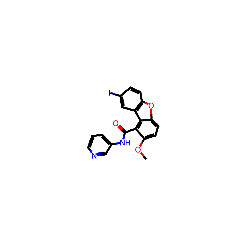 COc1ccc2oc3ccc(I)cc3c2c1C(=O)Nc1cccnc1